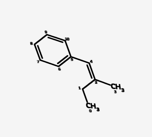 CCC(C)=Cc1ccccc1